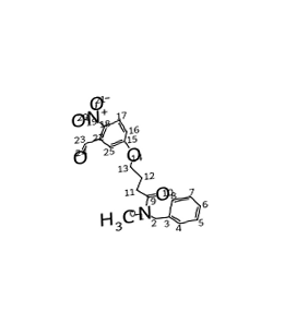 CN(Cc1ccccc1)C(=O)CCCOc1ccc([N+](=O)[O-])c(C=O)c1